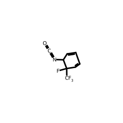 O=C=NC1C=CC=CC1(F)C(F)(F)F